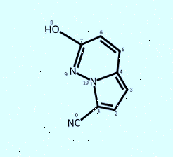 N#Cc1ccc2ccc(O)nn12